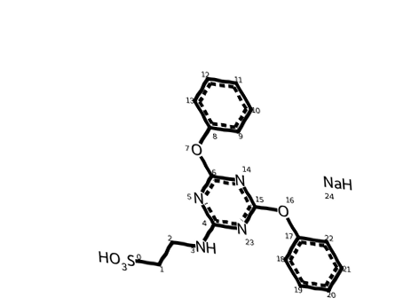 O=S(=O)(O)CCNc1nc(Oc2ccccc2)nc(Oc2ccccc2)n1.[NaH]